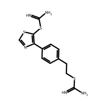 N=C(N)SCCc1ccc(-c2ncsc2SC(=N)N)cc1